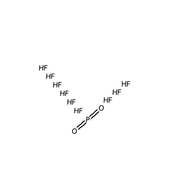 F.F.F.F.F.F.F.F.F.O=[P]=O